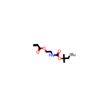 C=CC(=O)OCCNC(=O)OC(C)(C)CC(C)(C)C